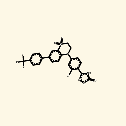 O=c1[nH]c(-c2ccc(N3CCS(=O)(=O)c4cc(-c5ccc(C(F)(F)F)cc5)ccc43)cc2Cl)no1